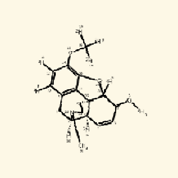 [2H]OC1C=C[C@@]2([2H])[C@H]3Cc4c([2H])c([2H])c(OC([2H])([2H])[2H])c5c4[C@@]2(CCN3C)C1([2H])O5